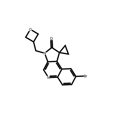 O=C1N(CC2COC2)c2cnc3ccc(Br)cc3c2C12CC2